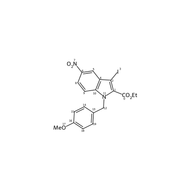 CCOC(=O)c1c(I)c2cc([N+](=O)[O-])ccc2n1Cc1ccc(OC)cc1